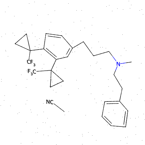 CC#N.CN(CCCc1ccc(C2(C(F)(F)F)CC2)c(C2(C(F)(F)F)CC2)c1)CCc1ccccc1